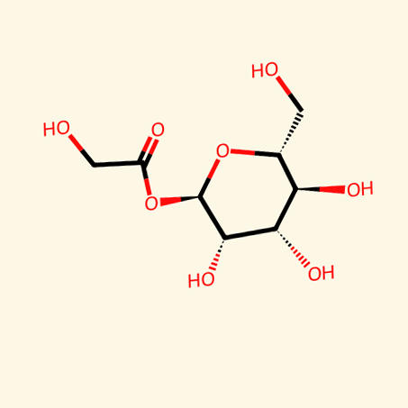 O=C(CO)O[C@H]1O[C@H](CO)[C@@H](O)[C@H](O)[C@@H]1O